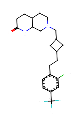 O=C1CCC2CCN(CC3CC(CCc4ccc(C(F)(F)F)cc4Cl)C3)CC2N1